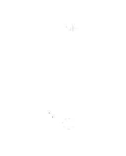 C[N+](C)(CCCCCCCCCCCCC[SiH3])Cc1ccccc1